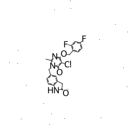 Cc1nc(OCc2ccc(F)cc2F)c(Cl)c(=O)n1Cc1ccc2c(c1)CC(=O)N2